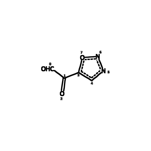 O=CC(=O)c1cnno1